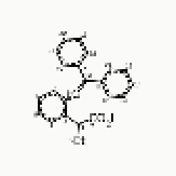 CCC(C(=O)O)c1ccccc1.O=C(c1ccccc1)c1ccccc1